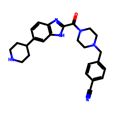 N#Cc1ccc(CN2CCN(C(=O)c3nc4ccc(C5CCNCC5)cc4[nH]3)CC2)cc1